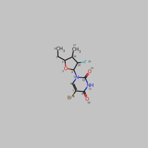 CCC1OC(n2cc(Br)c(=O)[nH]c2=O)C(F)C1C